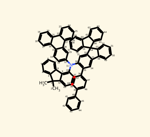 CC1(C)c2ccccc2-c2c(N(c3ccc4c5ccccc5c5ccccc5c4c3)c3cc4c(cc3-c3ccc(-c5ccccc5)cc3)-c3ccccc3C43c4ccccc4-c4ccccc43)cccc21